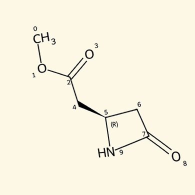 COC(=O)C[C@H]1CC(=O)N1